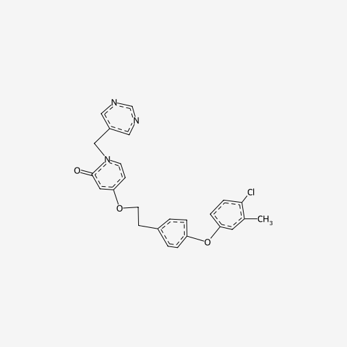 Cc1cc(Oc2ccc(CCOc3ccn(Cc4cncnc4)c(=O)c3)cc2)ccc1Cl